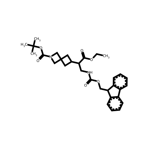 CCOC(=O)C(CNC(=O)OCC1c2ccccc2-c2ccccc21)C1CC2(C1)CN(C(=O)OC(C)(C)C)C2